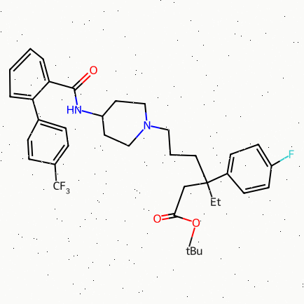 CCC(CCCN1CCC(NC(=O)c2ccccc2-c2ccc(C(F)(F)F)cc2)CC1)(CC(=O)OC(C)(C)C)c1ccc(F)cc1